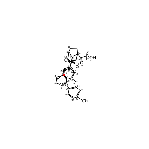 O=C(Cc1ccncc1)N1CC2CCC(C(=O)NO)(C1)N2S(=O)(=O)c1cc(F)c(Oc2ccc(Cl)cc2)c(F)c1